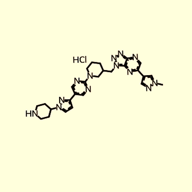 Cl.Cn1cc(-c2cnc3nnn(CC4CCCN(c5ncc(-c6ccn(C7CCNCC7)n6)cn5)C4)c3n2)cn1